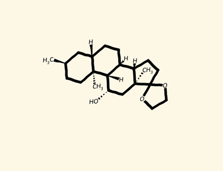 C[C@@H]1CC[C@@]2(C)[C@@H](CC[C@@H]3[C@@H]2[C@@H](O)C[C@@]2(C)[C@H]3CCC23OCCO3)C1